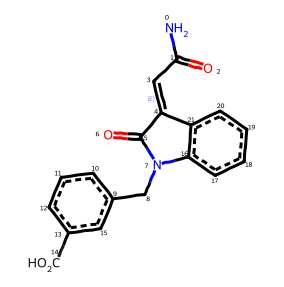 NC(=O)/C=C1/C(=O)N(Cc2cccc(C(=O)O)c2)c2ccccc21